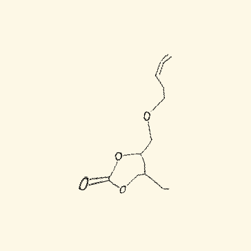 C=CCOCC1OC(=O)OC1C